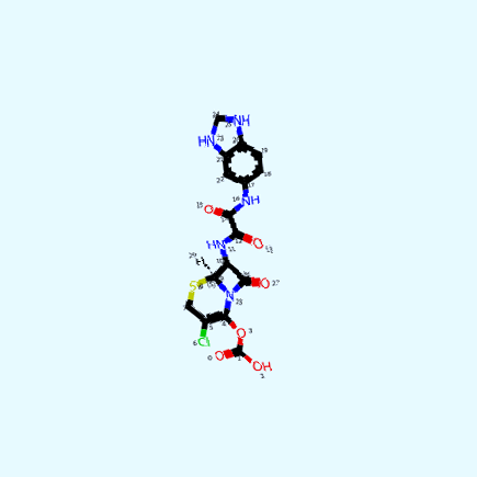 O=C(O)OC1=C(Cl)CS[C@H]2C(NC(=O)C(=O)Nc3ccc4c(c3)NCN4)C(=O)N12